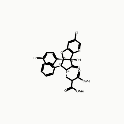 COC(=O)C(C[C@H]1C(=O)[C@@]2(O)c3ncc(Cl)cc3O[C@@]2(c2ccc(Br)cc2)[C@@H]1c1ccccc1)C(=O)OC